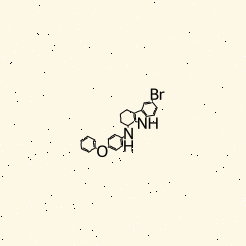 Brc1ccc2[nH]c3c(c2c1)CCCC3Nc1ccc(Oc2ccccc2)cc1